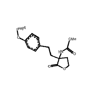 CCCCCCCOc1ccc(CCC2(NC(=O)OC)CCOC2=O)cc1